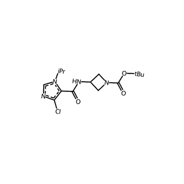 CC(C)n1cnc(Cl)c1C(=O)NC1CN(C(=O)OC(C)(C)C)C1